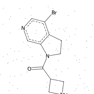 O=C(C1CNC1)N1CCc2c(Br)cncc21